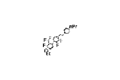 CCCc1ccc(CCc2ccc(-c3ccc(OCC)c(F)c3C(F)F)c(F)c2F)cc1